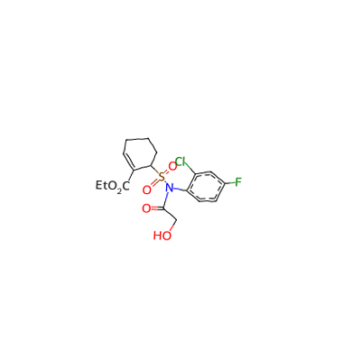 CCOC(=O)C1=CCCCC1S(=O)(=O)N(C(=O)CO)c1ccc(F)cc1Cl